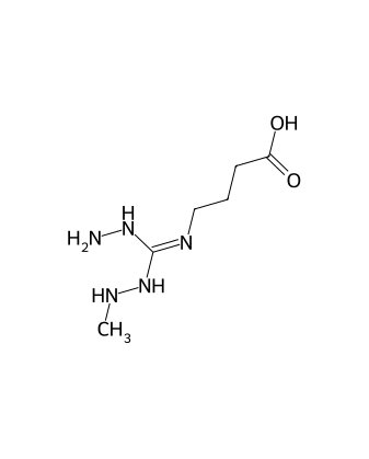 CNN/C(=N/CCCC(=O)O)NN